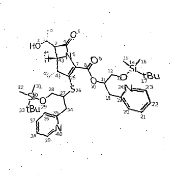 C[C@@H](O)[C@H]1C(=O)N2C(C(=O)OC(CO[Si](C)(C)C(C)(C)C)Cc3ccccn3)=C(SC(CO[Si](C)(C)C(C)(C)C)Cc3ccccn3)[C@H](C)[C@H]12